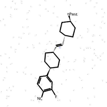 CCCCC[C@H]1CC[C@H](/C=C/[C@H]2CC[C@H](c3ccc(C#N)c(F)c3)CC2)CC1